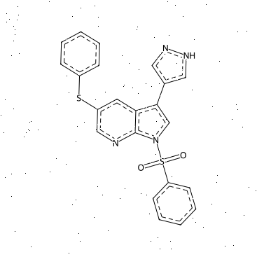 O=S(=O)(c1ccccc1)n1cc(-c2cn[nH]c2)c2cc(Sc3ccccc3)cnc21